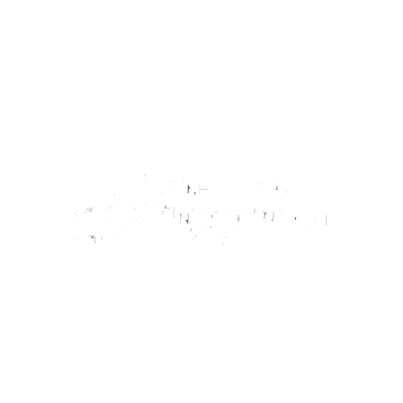 CC(O)C(N=Cc1ccc2snc(Nc3cccc(-c4ccc5c(c4)OCCO5)c3Cl)c2c1)C(=O)O